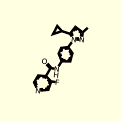 Cc1cc(C2CC2)n(-c2ccc(NC(=O)c3ccncc3F)cc2)n1